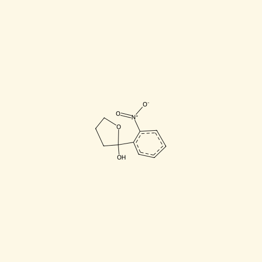 O=[N+]([O-])c1ccccc1C1(O)CCCO1